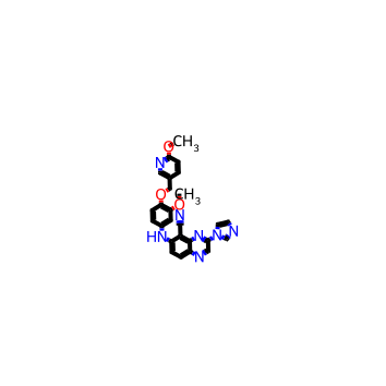 COc1ccc(COc2ccc(Nc3ccc4ncc(-n5ccnc5)nc4c3C#N)cc2OC)cn1